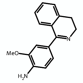 COc1cc(C2=NCCc3ccccc32)ccc1N